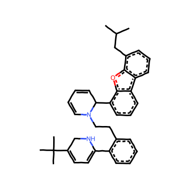 CC(C)Cc1cccc2c1oc1c(C3C=CC=CN3CCc3ccccc3C3=CC=C(C(C)(C)C)CN3)cccc12